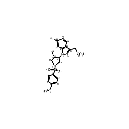 CC(C)Oc1ccc(S(=O)(=O)N2C[C@@H](C)[C@@H](n3nc(CC(=O)O)c4cnc(F)cc43)C2)cc1